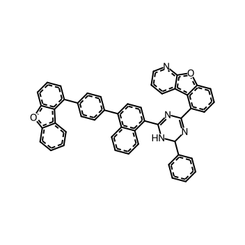 c1ccc(C2N=C(c3cccc4oc5ncccc5c34)N=C(c3ccc(-c4ccc(-c5cccc6oc7ccccc7c56)cc4)c4ccccc34)N2)cc1